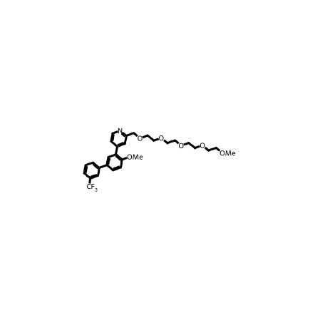 COCCOCCOCCOCCOCc1cc(-c2cc(-c3cccc(C(F)(F)F)c3)ccc2OC)ccn1